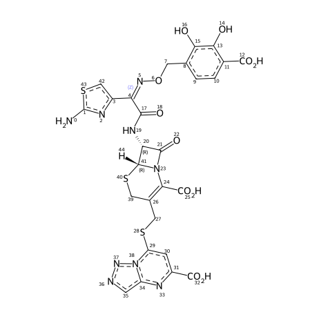 Nc1nc(/C(=N/OCc2ccc(C(=O)O)c(O)c2O)C(=O)N[C@@H]2C(=O)N3C(C(=O)O)=C(CSc4cc(C(=O)O)nc5cnnn45)CS[C@H]23)cs1